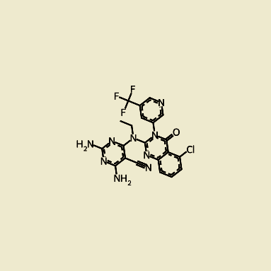 CCN(c1nc(N)nc(N)c1C#N)c1nc2cccc(Cl)c2c(=O)n1-c1cncc(C(F)(F)F)c1